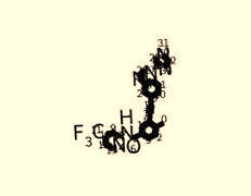 Cc1ccc(C(=O)Nc2cc(C(F)(F)F)ccn2)cc1C#Cc1ccc2c(c1)ncn2-c1cn(C)cn1